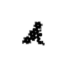 C[C@H](NC(=O)CCCN)[C@@H](Oc1ccc2c(cnn2-c2ccc(F)cc2)c1)c1ccccc1